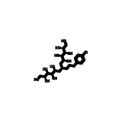 CCc1ccc(OCCN(C[C@H](O)[C@@H](O)[C@H](O)[C@H](O)CO)C[C@H](O)[C@@H](O)[C@H](O)[C@H](O)CO)cc1